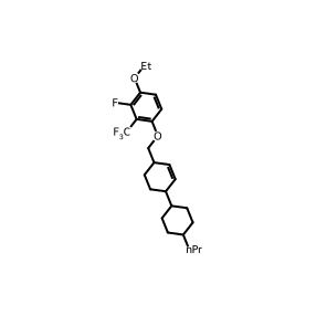 CCCC1CCC(C2C=CC(COc3ccc(OCC)c(F)c3C(F)(F)F)CC2)CC1